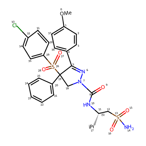 COc1ccc(C2=NN(C(=O)N[C@H](CS(N)(=O)=O)C(C)C)CC2(c2ccccc2)S(=O)(=O)c2ccc(Cl)cc2)cc1